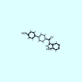 O=C(c1n[nH]c2ccccc12)N1CCN(c2ccc(O)cc2)CC1